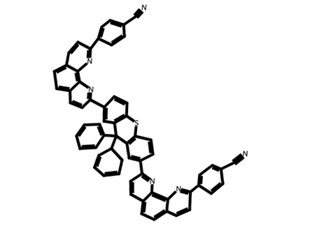 N#Cc1ccc(-c2ccc3ccc4ccc(-c5ccc6c(c5)C(c5ccccc5)(C5C=CC=CC5)c5cc(-c7ccc8ccc9ccc(-c%10ccc(C#N)cc%10)nc9c8n7)ccc5S6)nc4c3n2)cc1